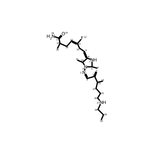 C=C(/C=N\N1C(C)N/C(=C/C/C(F)=C\CC(C)C(N)=O)C1C)C(C)CCCNCCC